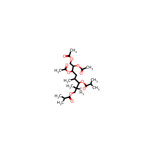 CC(=O)OCC(OC(C)=O)C(CC(C)C(OC(=O)C(C)C)C(C)(C)COC(=O)C(C)C)OC(C)=O